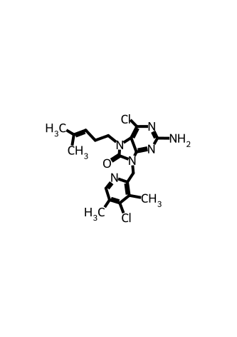 CC(C)=CCCn1c(=O)n(Cc2ncc(C)c(Cl)c2C)c2nc(N)nc(Cl)c21